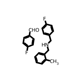 Cc1ccccc1CNCc1ccc(F)cc1.O=Cc1ccc(F)cc1